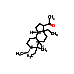 CC[C@@H]1CCC2[C@@H]3CCC(C(C)=O)C3(CC)CC[C@@H]2C1(C)CC